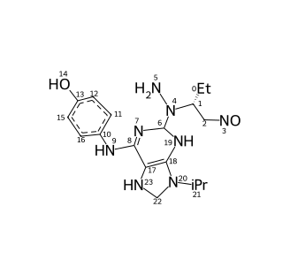 CC[C@H](CN=O)N(N)C1N=C(Nc2ccc(O)cc2)C2=C(N1)N(C(C)C)CN2